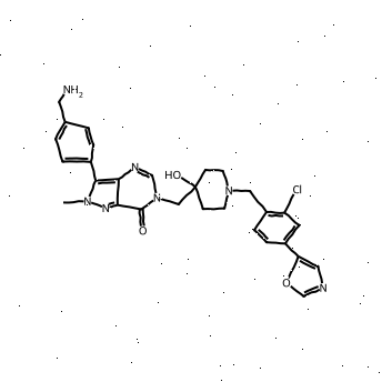 Cn1nc2c(=O)n(CC3(O)CCN(Cc4ccc(-c5cnco5)cc4Cl)CC3)cnc2c1-c1ccc(CN)cc1